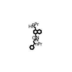 CCCNCc1ccc(-c2nnc(/C=C(\CCC)c3ccccc3)o2)c2ccccc12